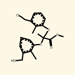 COC(=O)C(C)(Sc1cccc(CO)c1C)Sc1cccc(CCl)c1C